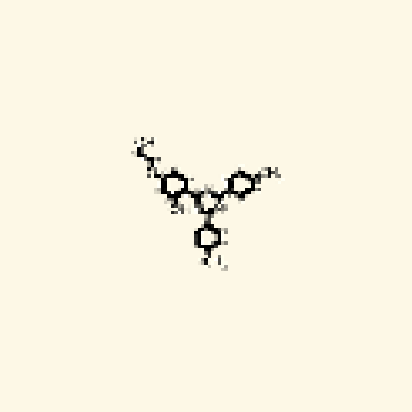 Cc1ccc(-c2nc(-c3ccc(C)cc3)nc(-c3ccc(OCCO)cc3O)n2)cc1